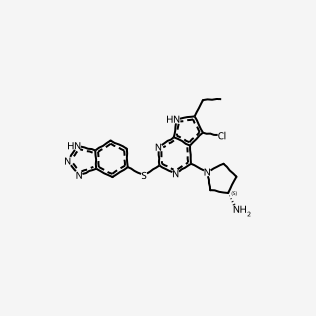 CCc1[nH]c2nc(Sc3ccc4[nH]nnc4c3)nc(N3CC[C@H](N)C3)c2c1Cl